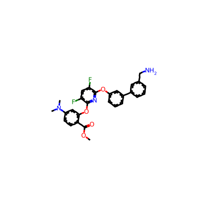 COC(=O)c1ccc(N(C)C)cc1Oc1nc(Oc2cccc(-c3cccc(CN)c3)c2)c(F)cc1F